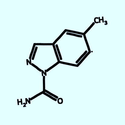 Cc1[c]cc2c(cnn2C(N)=O)c1